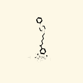 CN(C)S(=O)(=O)c1cc(C(=O)CCCCCN2CCN(c3ccccc3)CC2)ccc1S(C)(=O)=O